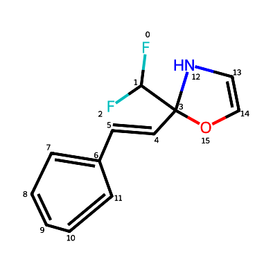 FC(F)C1(/C=C/c2ccccc2)NC=CO1